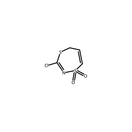 O=S1(=O)C=CCSC(Cl)=N1